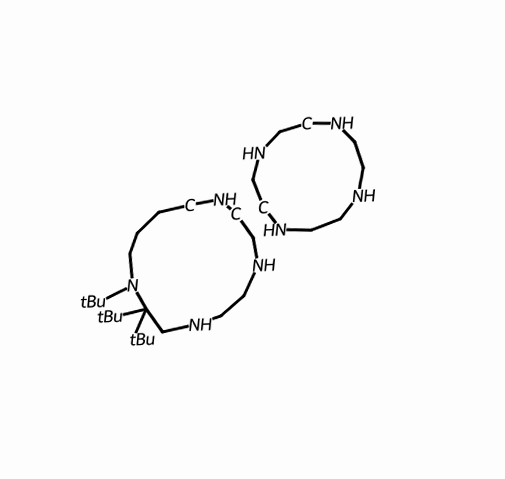 C1CNCCNCCNCCN1.CC(C)(C)N1CCCCNCCNCCNCC1(C(C)(C)C)C(C)(C)C